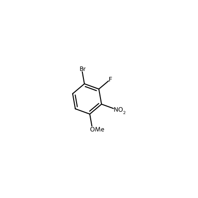 COc1ccc(Br)c(F)c1[N+](=O)[O-]